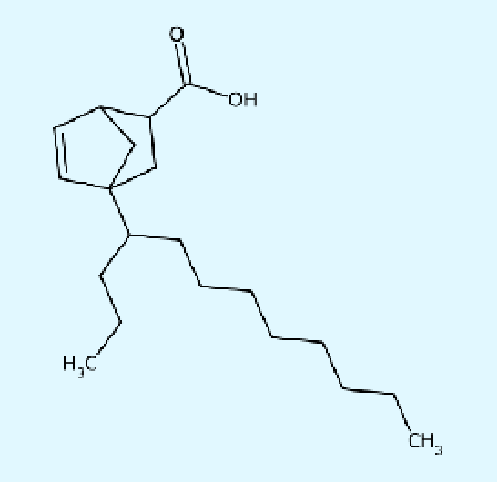 CCCCCCCCC(CCC)C12C=CC(C1)C(C(=O)O)C2